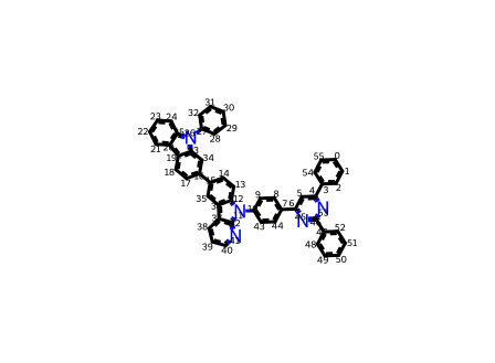 c1ccc(-c2cc(-c3ccc(-n4c5ccc(-c6ccc7c8ccccc8n(-c8ccccc8)c7c6)cc5c5cccnc54)cc3)nc(-c3ccccc3)n2)cc1